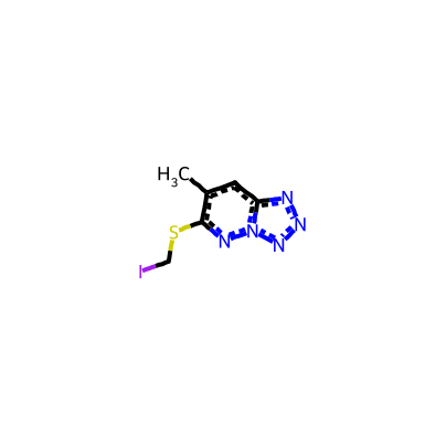 Cc1cc2nnnn2nc1SCI